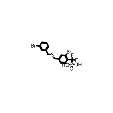 O=P(O)(O)C(F)(F)c1ccc(CSCc2cccc(Br)c2)cc1Br